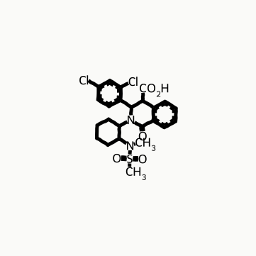 CN(C1CCCCC1N1C(=O)c2ccccc2C(C(=O)O)C1c1ccc(Cl)cc1Cl)S(C)(=O)=O